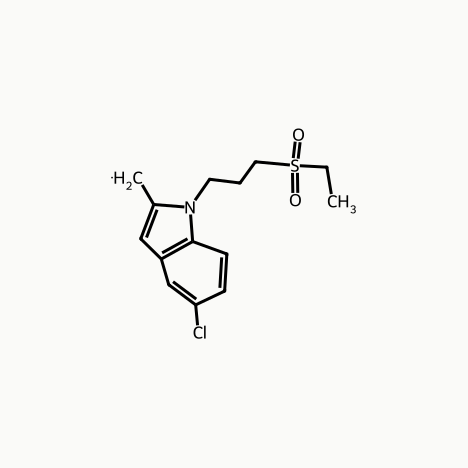 [CH2]c1cc2cc(Cl)ccc2n1CCCS(=O)(=O)CC